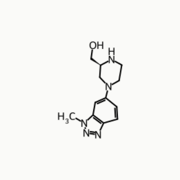 Cn1nnc2ccc(N3CCN[C@H](CO)C3)cc21